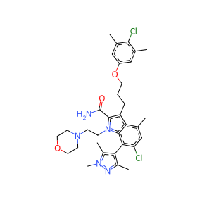 Cc1cc(OCCCc2c(C(N)=O)n(CCN3CCOCC3)c3c(-c4c(C)nn(C)c4C)c(Cl)cc(C)c23)cc(C)c1Cl